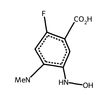 CNc1cc(F)c(C(=O)O)cc1NO